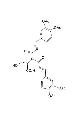 CC(=O)Oc1ccc(/C=C/C(=O)N(C(=O)/C=C/c2ccc(OC(C)=O)c(OC(C)=O)c2)[C@H](CO)C(=O)O)cc1OC(C)=O